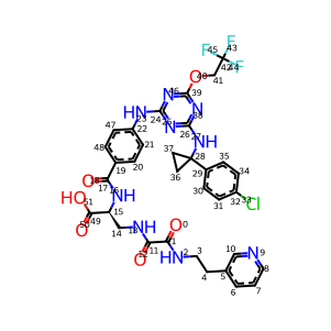 O=C(NCCc1cccnc1)C(=O)NC[C@H](NC(=O)c1ccc(Nc2nc(NC3(c4ccc(Cl)cc4)CC3)nc(OCC(F)(F)F)n2)cc1)C(=O)O